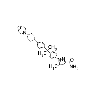 Cc1cc(C(N)=O)nn1-c1ccc(C(C)(C)c2ccc(C3=CC[C@@H](N4CCOCC4)CC3)cc2)cc1